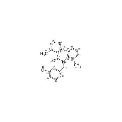 Cc1cnccc1C(=O)N(Cc1cccc(Cl)c1)c1c(C)cccc1C